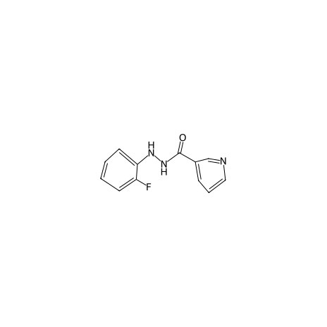 O=C(NNc1ccccc1F)c1cccnc1